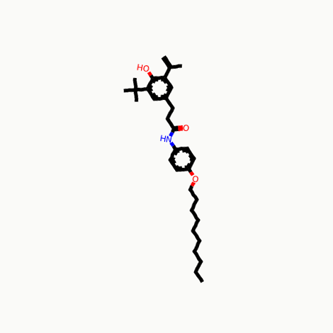 C=C(C)c1cc(CCC(=O)Nc2ccc(OCCCCCCCCCC)cc2)cc(C(C)(C)C)c1O